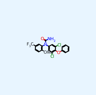 COc1ccc(C(F)(F)F)cc1N(C(N)=O)c1cc(Cl)c(Oc2ccccc2)c(Cl)c1